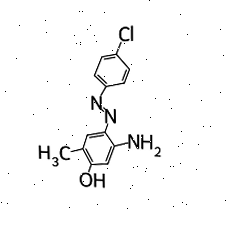 Cc1cc(/N=N/c2ccc(Cl)cc2)c(N)cc1O